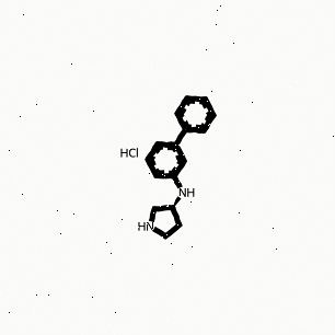 Cl.c1ccc(-c2cccc(N[C@H]3CCNC3)c2)cc1